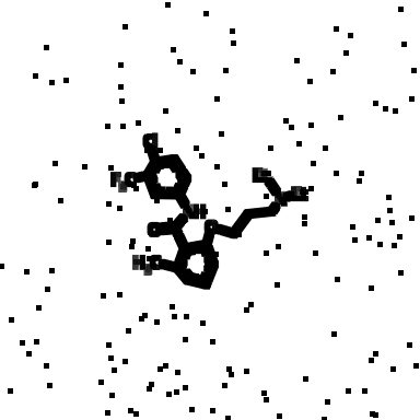 CCN(CC)CCCOc1cccc(C)c1C(=O)Nc1ccc(Cl)c(C(F)(F)F)c1